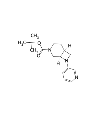 CC(C)(C)OC(=O)N1CC[C@H]2CN(c3cccnc3)[C@H]2C1